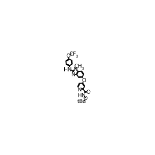 Cn1c(Nc2ccc(OC(F)(F)F)cc2)nc2cc(Oc3ccnc(C(=O)NOC(C)(C)C)c3)ccc21